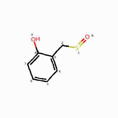 O=[S+]Cc1ccccc1O